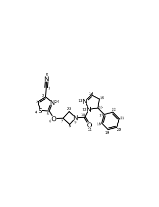 N#Cc1csc(OC2CN(C(=O)N3N=CCC3c3ccccc3)C2)n1